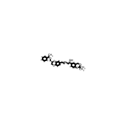 CC(OC[C@@H]1COc2ccc(CCNC[C@H](O)c3ccc4c(c3)COC(C)(C)O4)cc2O1)c1ccccc1